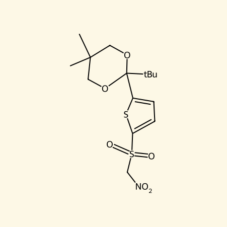 CC1(C)COC(c2ccc(S(=O)(=O)C[N+](=O)[O-])s2)(C(C)(C)C)OC1